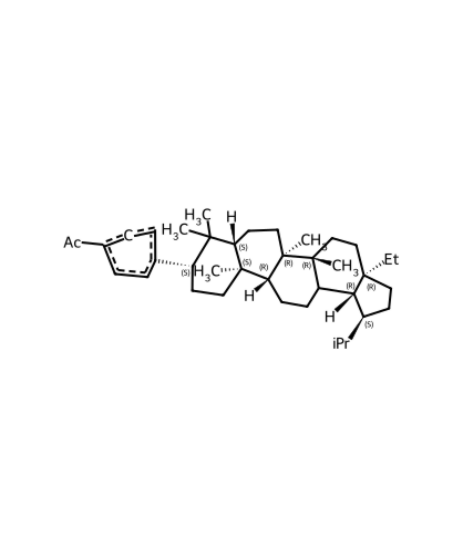 CC[C@]12CC[C@@H](C(C)C)[C@@H]1C1CC[C@@H]3[C@@]4(C)CC[C@H](c5ccc(C(C)=O)cc5)C(C)(C)[C@@H]4CC[C@@]3(C)[C@]1(C)CC2